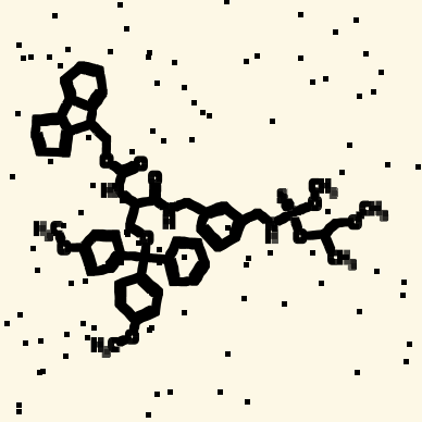 COCC(C)OP(=S)(NCc1cccc(CNC(=O)C(COC(c2ccccc2)(c2ccc(OC)cc2)c2ccc(OC)cc2)NC(=O)OCC2c3ccccc3-c3ccccc32)c1)OC